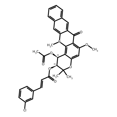 COc1cc2c(c3c1c(=O)c1cc4ccccc4cc1n3C)[C@H](OC(C)=O)[C@H](OC(=O)C=Cc1cccc(Cl)c1)C(C)(C)O2